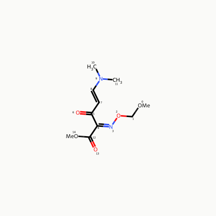 COCO/N=C(\C(=O)/C=C/N(C)C)C(=O)OC